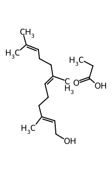 CC(C)=CCCC(C)=CCCC(C)=CCO.CCC(=O)O